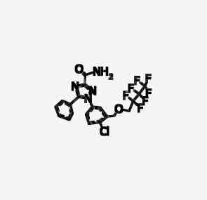 NC(=O)c1nc(-c2ccccc2)n(-c2ccc(Cl)c(COCC(F)(F)C(F)(F)C(F)(F)F)c2)n1